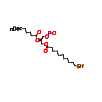 CCCCCCCCCCCCCCC(=O)O[C@@H](COP=O)COC(=O)CCCCCCCCCCS